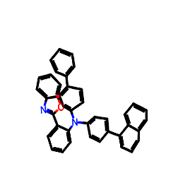 c1ccc(-c2ccc(N(c3ccc(-c4cccc5ccccc45)cc3)c3ccccc3-c3nc4ccccc4o3)cc2)cc1